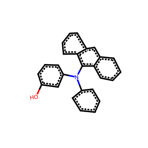 Oc1cccc(N(c2ccccc2)c2c3ccccc3cc3ccccc23)c1